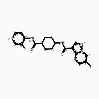 Cc1cnc2c(C(=O)NC3CCC(C(=O)Nc4ccncc4Cl)CC3)cnn2c1